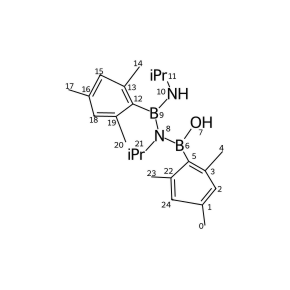 Cc1cc(C)c(B(O)N(B(NC(C)C)c2c(C)cc(C)cc2C)C(C)C)c(C)c1